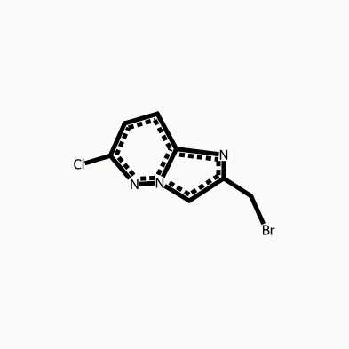 Clc1ccc2nc(CBr)cn2n1